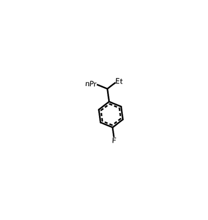 [CH2]CC(CCC)c1ccc(F)cc1